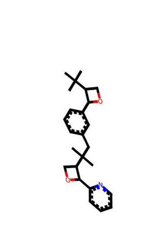 CC(C)(C)C1COC1c1cccc(CC(C)(C)C2COC2c2ccccn2)c1